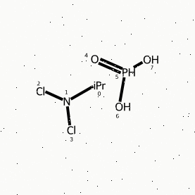 CC(C)N(Cl)Cl.O=[PH](O)O